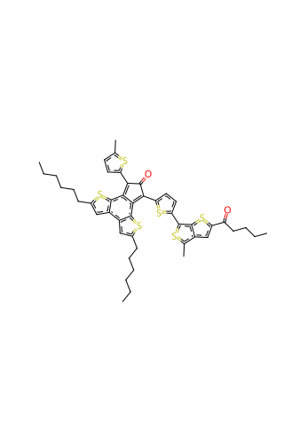 CCCCCCc1cc2c(s1)c1c(c3sc(CCCCCC)cc32)=C(c2ccc(-c3sc(C)c4cc(C(=O)CCCC)sc34)s2)C(=O)C=1c1ccc(C)s1